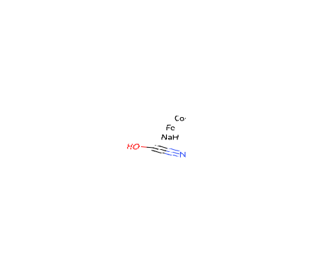 N#CO.[Co].[Fe].[NaH]